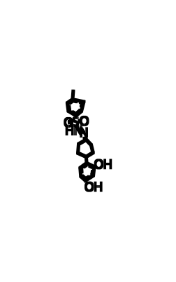 Cc1ccc(S(=O)(=O)NN=C2CCC(c3ccc(O)cc3O)CC2)cc1